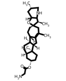 CC1=C2C[C@H]3[C@@H](CC[C@@H]4C[C@@H](OC(=O)CN)CC[C@@]43C)[C@@H]2CC[C@@]2(C1)O[C@@H]1C[C@H](C)CNC1[C@H]2C